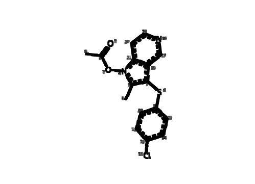 CC(=O)On1c(C)c(Sc2ccc(Cl)cc2)c2cnccc21